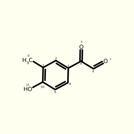 Cc1cc(C(=O)C=O)ccc1O